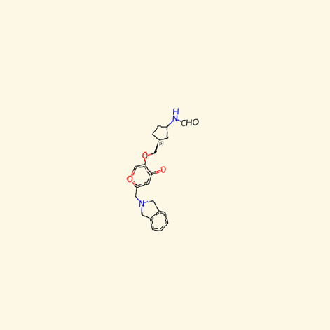 O=CNC1CC[C@H](COc2coc(CN3Cc4ccccc4C3)cc2=O)C1